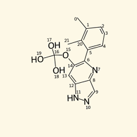 Cc1cccc(-c2nc3cn[nH]c3cc2OC(O)(O)O)c1C